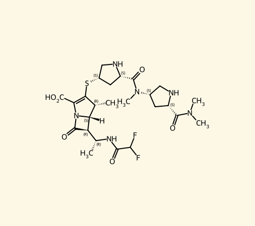 C[C@@H](NC(=O)C(F)F)[C@H]1C(=O)N2C(C(=O)O)=C(S[C@@H]3CN[C@H](C(=O)N(C)[C@@H]4CN[C@H](C(=O)N(C)C)C4)C3)[C@H](C)[C@H]12